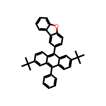 CC(C)(C)c1ccc2c(-c3ccc4oc5ccccc5c4c3)c3cc(C(C)(C)C)ccc3c(-c3ccccc3)c2c1